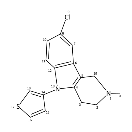 CN1CCc2c(c3cc(Cl)ccc3n2-c2ccsc2)C1